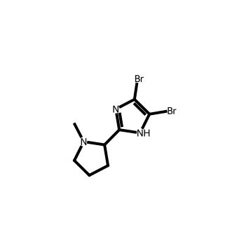 CN1CCCC1c1nc(Br)c(Br)[nH]1